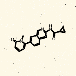 Cn1c(-c2ccc3cc(NC(=O)C4CC4)ncc3c2)cccc1=O